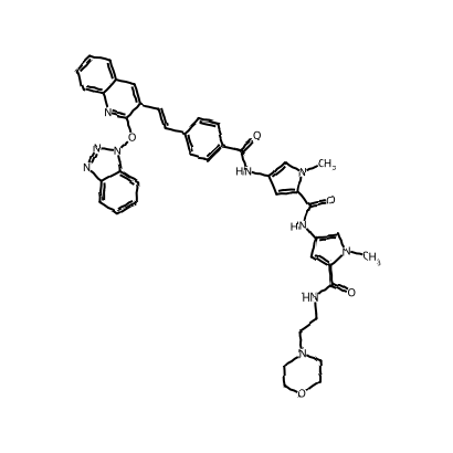 Cn1cc(NC(=O)c2cc(NC(=O)c3ccc(C=Cc4cc5ccccc5nc4On4nnc5ccccc54)cc3)cn2C)cc1C(=O)NCCN1CCOCC1